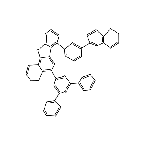 C1=Cc2cc(-c3cccc(-c4cccc5oc6c7ccccc7c(-c7cc(-c8ccccc8)nc(-c8ccccc8)n7)cc6c45)c3)ccc2CC1